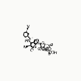 C[C@H](Nc1c(C#N)c(Cl)nc2c1cnn2[C@@H]1O[C@H](CS(=O)(=O)CP(=O)(O)O)[C@@H](O)[C@H]1O)c1cccc(C#N)c1